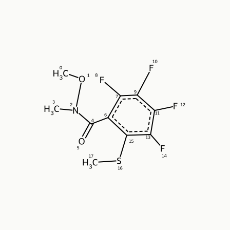 CON(C)C(=O)c1c(F)c(F)c(F)c(F)c1SC